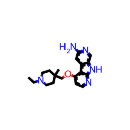 CCN1CCC(C)(COc2ccnc3[nH]c4cnc(N)cc4c23)CC1